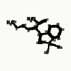 CCOC=C(C(C)=O)C(=O)c1ccccc1C(F)(F)F